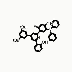 CC(C)(C)c1cc(-c2cc(-c3ccccc3O)nc(-c3cc(N(c4ccccc4)c4ccccn4)c(F)cc3F)c2)cc(C(C)(C)C)c1